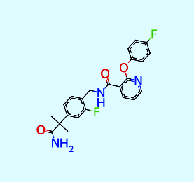 CC(C)(C(N)=O)c1ccc(CNC(=O)c2cccnc2Oc2ccc(F)cc2)c(F)c1